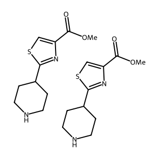 COC(=O)c1csc(C2CCNCC2)n1.COC(=O)c1csc(C2CCNCC2)n1